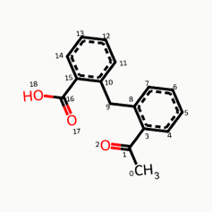 CC(=O)c1ccccc1Cc1ccccc1C(=O)O